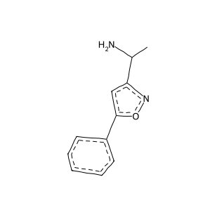 CC(N)c1cc(-c2ccccc2)on1